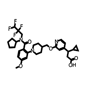 COc1ccc(C(=O)N(CC(F)(F)C(F)F)C2CCCC2)c(N2CCC(COc3cc(C(CC(=O)O)C4CC4)ccn3)CC2)c1